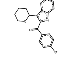 CCc1ccc(C(=O)c2nc3ccccc3n2C2CCCCO2)cc1